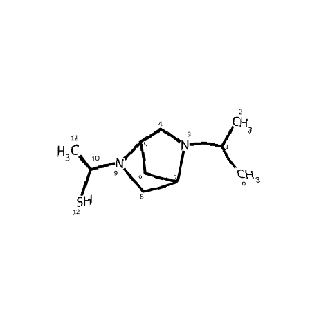 CC(C)N1CC2CC1CN2C(C)S